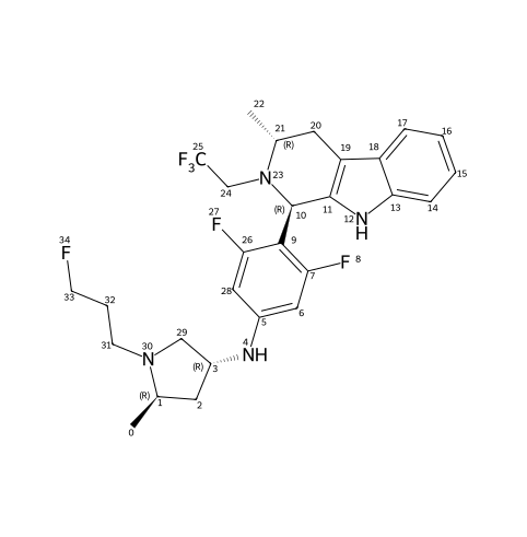 C[C@@H]1C[C@@H](Nc2cc(F)c([C@@H]3c4[nH]c5ccccc5c4C[C@@H](C)N3CC(F)(F)F)c(F)c2)CN1CCCF